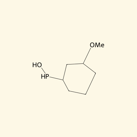 COC1CCCC(PO)C1